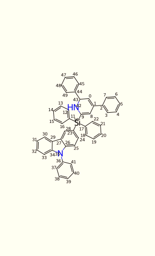 C1=C(c2ccccc2)C=C([Si](c2ccccc2)(c2ccccc2)c2ccc3c(c2)c2ccccc2n3-c2ccccc2)NC1c1ccccc1